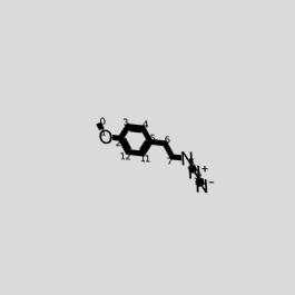 COc1ccc(CCN=[N+]=[N-])cc1